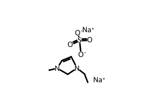 CCN1C=CN(C)C1.O=S(=O)([O-])[O-].[Na+].[Na+]